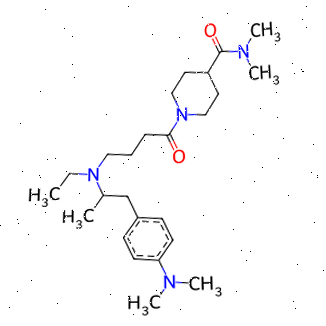 CCN(CCCC(=O)N1CCC(C(=O)N(C)C)CC1)C(C)Cc1ccc(N(C)C)cc1